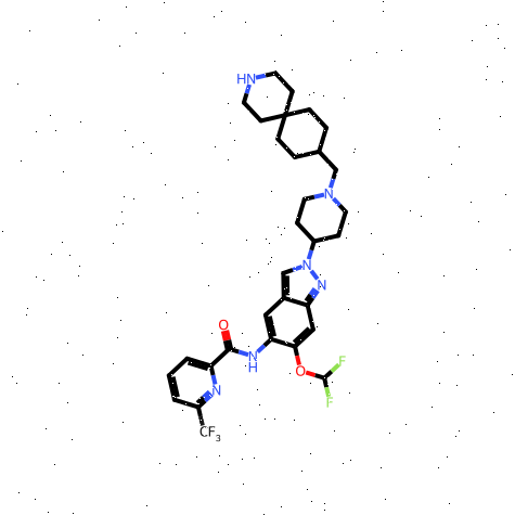 O=C(Nc1cc2cn(C3CCN(CC4CCC5(CCNCC5)CC4)CC3)nc2cc1OC(F)F)c1cccc(C(F)(F)F)n1